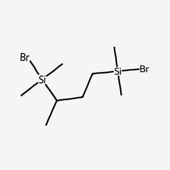 CC(CC[Si](C)(C)Br)[Si](C)(C)Br